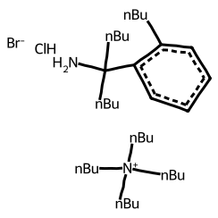 CCCC[N+](CCCC)(CCCC)CCCC.CCCCc1ccccc1C(N)(CCCC)CCCC.Cl.[Br-]